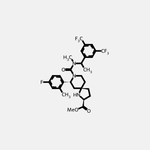 COC(=O)[C@@H]1CC[C@@]2(CCN(C(=O)N(C)C(C)c3cc(C(F)(F)F)cc(C(F)(F)F)c3)[C@@H](c3ccc(F)cc3C)C2)N1